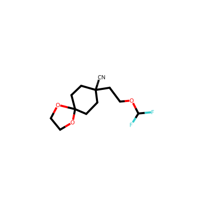 N#CC1(CCOC(F)F)CCC2(CC1)OCCO2